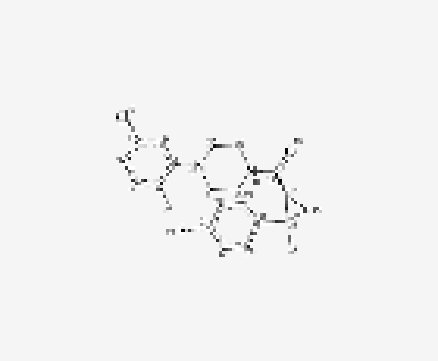 Cc1ccc(Cl)cc1N1CCN(C(=O)[C@H]2C[C@@]2(C)c2ccc(F)cc2)CC1